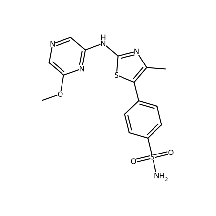 COc1cncc(Nc2nc(C)c(-c3ccc(S(N)(=O)=O)cc3)s2)n1